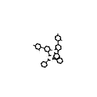 Cc1ccc(-c2ccc3c4ccccc4n(-c4ccc(-c5ccc(F)cc5F)cc4-c4nc(-c5ccccc5)nc(-c5ccccc5)n4)c3c2)c(C)c1